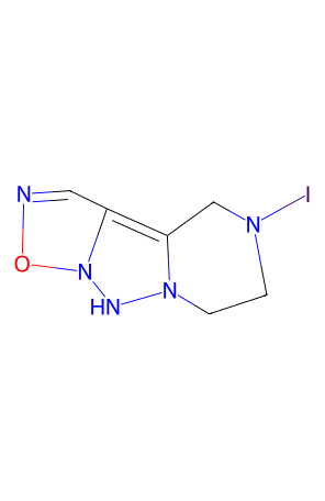 IN1CCN2NN3ON=CC3=C2C1